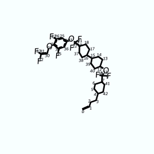 C=CCCC1CCC(C(F)(F)OC2CCC(C3CCC(C(F)(F)Oc4cc(F)c(OC=C(F)F)c(F)c4)CC3)CC2)CC1